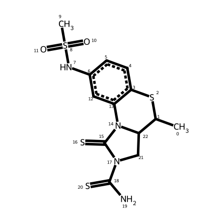 CC1Sc2ccc(NS(C)(=O)=O)cc2N2C(=S)N(C(N)=S)CC12